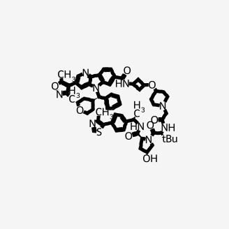 Cc1ncsc1-c1ccc([C@H](C)NC(=O)[C@@H]2C[C@@H](O)CN2C(=O)[C@@H](NC(=O)CN2CCC(OC3CC(NC(=O)c4ccc5c6ncc(-c7c(C)noc7C)cc6n([C@H](c6ccccc6)C6CCOCC6)c5c4)C3)CC2)C(C)(C)C)cc1